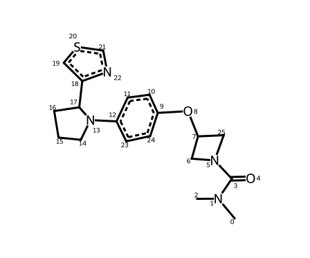 CN(C)C(=O)N1CC(Oc2ccc(N3CCCC3c3cscn3)cc2)C1